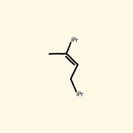 CC(=CCC(C)C)C(C)C